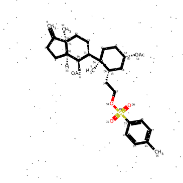 C=C1CC[C@@H]2[C@H](OC(C)=O)[C@H]([C@@]3(C)CC[C@H](OC(C)=O)C[C@@H]3CCOS(=O)(=O)c3ccc(C)cc3)CC[C@]12C